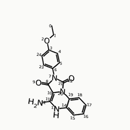 CCOc1ccc(-n2c(=O)c3c(N)[nH]c4ccccc4n-3c2=O)cc1